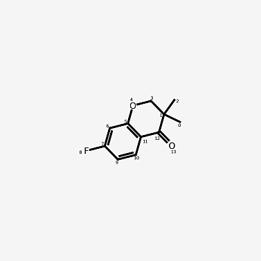 CC1(C)COc2cc(F)ccc2C1=O